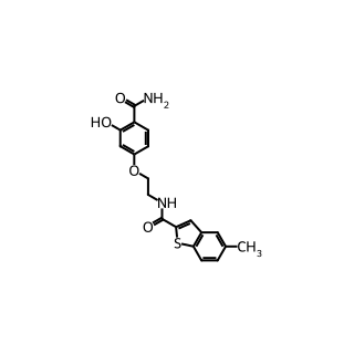 Cc1ccc2sc(C(=O)NCCOc3ccc(C(N)=O)c(O)c3)cc2c1